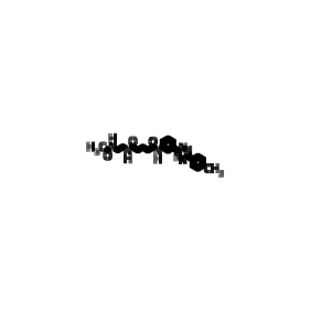 CC(=O)NCCNC(=O)CCCC(=O)Nc1cccc(-c2nnc(-c3ccc(C)cc3)nn2)c1